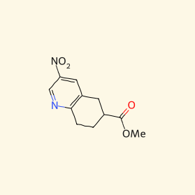 COC(=O)C1CCc2ncc([N+](=O)[O-])cc2C1